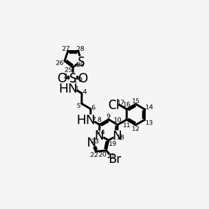 O=S(=O)(NCCCNc1cc(-c2ccccc2Cl)nc2c(Br)cnn12)c1cccs1